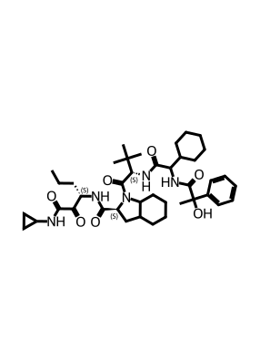 CCC[C@H](NC(=O)[C@@H]1CC2CCCCC2N1C(=O)[C@@H](NC(=O)C(NC(=O)C(C)(O)c1ccccc1)C1CCCCC1)C(C)(C)C)C(=O)C(=O)NC1CC1